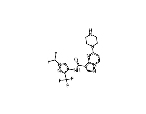 O=C(Nc1cn(C(F)F)nc1C(F)(F)F)c1cnn2ccc(N3CCNCC3)nc12